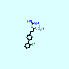 N=C(N)SC(CCc1ccc(-c2ccccc2Cl)cc1)C(=O)O